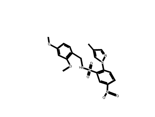 COc1ccc(CNS(=O)(=O)c2cc([N+](=O)[O-])ccc2-n2cc(C)cn2)c(OC)c1